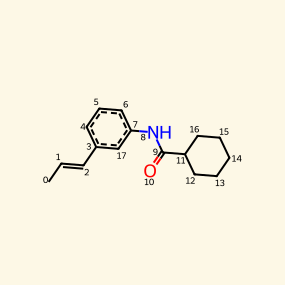 CC=Cc1cccc(NC(=O)C2CCCCC2)c1